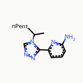 CCCCCC(C)n1cnnc1-c1cccc(N)n1